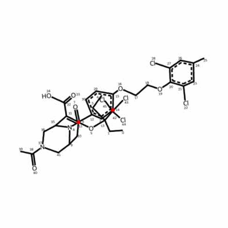 CCC(CC)(OC(=O)N1C2CC(c3ccc(OCCOc4c(Cl)cc(C)cc4Cl)cc3)=C(C(=O)O)C1CN(C(C)=O)C2)C(Cl)(Cl)Cl